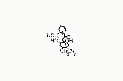 CC1CC(C)C(O)(CC(=O)N2CCCCC2C(=O)O)OC1C